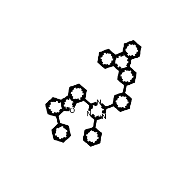 c1ccc(-c2nc(-c3cccc(-c4ccc5c6ccccc6c6ccccc6c5c4)c3)nc(-c3cccc4c3oc3c(-c5ccccc5)cccc34)n2)cc1